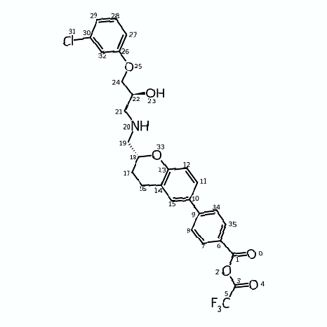 O=C(OC(=O)C(F)(F)F)c1ccc(-c2ccc3c(c2)CC[C@H](CNC[C@H](O)COc2cccc(Cl)c2)O3)cc1